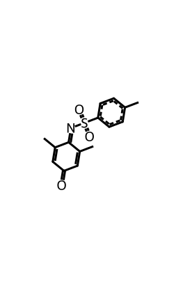 CC1=CC(=O)C=C(C)C1=NS(=O)(=O)c1ccc(C)cc1